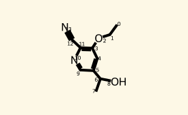 CCOc1cc(C(C)O)cnc1C#N